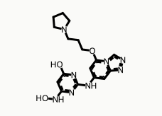 ONc1cc(O)nc(Nc2cc(OCCCN3CCCC3)n3cnnc3c2)n1